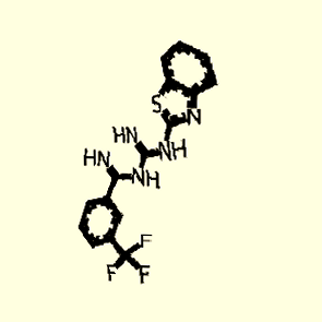 N=C(NC(=N)c1cccc(C(F)(F)F)c1)Nc1nc2ccccc2s1